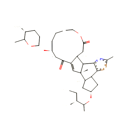 CC[C@H]1CCC[C@H](O[C@H]2CC[C@H](NC)C(C)O2)[C@@H](C)C(=O)C2=C[C@@H]3C(c4nc(C)sc4C4C[C@@H](OC(OC)[C@H](COC)OC)C[C@H]43)[C@@H]2CC(=O)O1